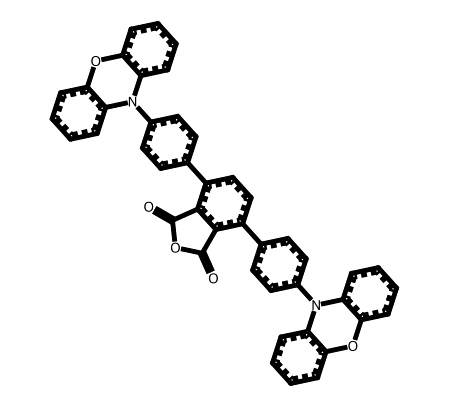 O=C1OC(=O)c2c(-c3ccc(N4c5ccccc5Oc5ccccc54)cc3)ccc(-c3ccc(N4c5ccccc5Oc5ccccc54)cc3)c21